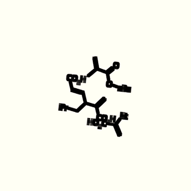 C=C(C(=O)O)C(C=CC(=O)O)CC(C)C.C=C(C)C(=O)OCCCC.C=C(CC)C(=O)O